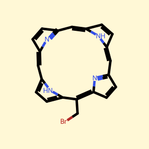 BrCc1c2nc(cc3ccc(cc4nc(cc5ccc1[nH]5)C=C4)[nH]3)C=C2